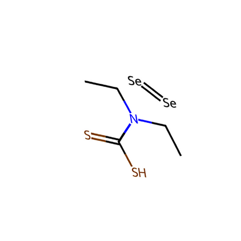 CCN(CC)C(=S)S.[Se]=[Se]